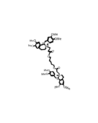 COc1ccc(C[C@@H]2c3cc(OC)c(OC)cc3CC[N+]2(C)CCC(=O)OCCCCCOC(=O)CC[N+]2(C)CCc3cc(OC)c(OC)cc3[C@H]2Cc2ccc(OC)c(OC)c2)cc1OC